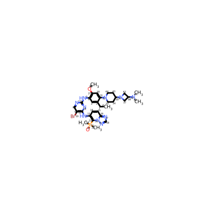 CCc1cc(Nc2ncc(Br)c(Nc3ccc4ncnn4c3P(C)(C)=O)n2)c(OC)cc1N1CCC(N2CC(N(C)C)C2)CC1